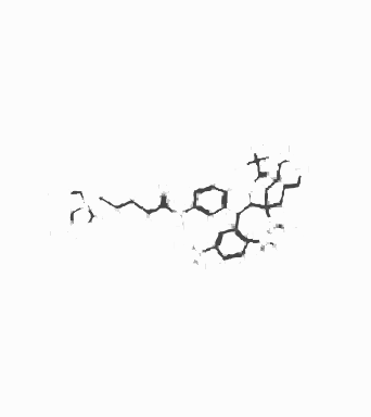 CCCCC1(CCCC)[C@H](OC(=O)C(F)(F)F)[C@H](c2cccc(NC(=O)CCCC[N+](CC)(CC)CC)c2)c2cc(N(C)C)ccc2S([O-])(O)N1C